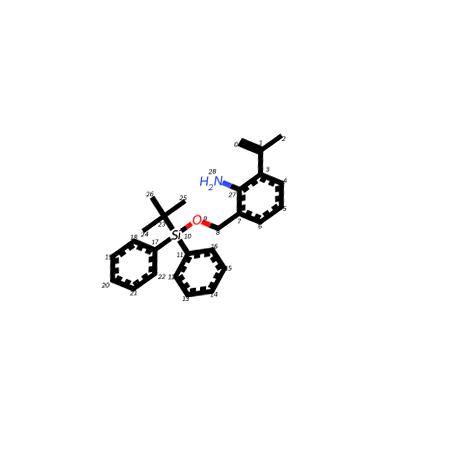 C=C(C)c1cccc(CO[Si](c2ccccc2)(c2ccccc2)C(C)(C)C)c1N